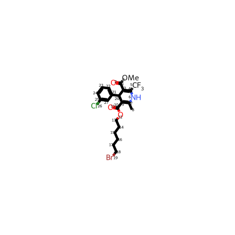 COC(=O)C1=C(C(F)(F)F)NC(C)=C(C(=O)OCCCCCCBr)C1c1cccc(Cl)c1